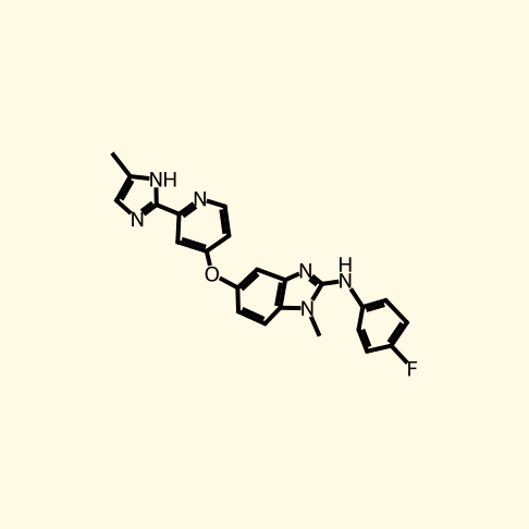 Cc1cnc(-c2cc(Oc3ccc4c(c3)nc(Nc3ccc(F)cc3)n4C)ccn2)[nH]1